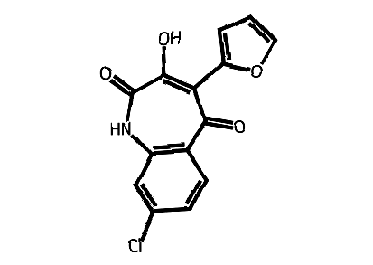 O=c1[nH]c2cc(Cl)ccc2c(=O)c(-c2ccco2)c1O